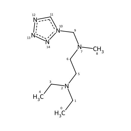 CCN(CC)CCN(C)Cn1cnnn1